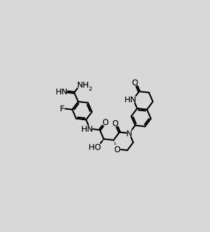 N=C(N)c1ccc(NC(=O)[C@H](O)[C@H]2OCCN(c3ccc4c(c3)NC(=O)CC4)C2=O)cc1F